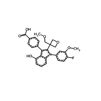 COCC1(c2c(-c3ccc(C(=O)O)cc3)c3c(O)cccc3n2-c2ccc(F)c(OC)c2)COC1